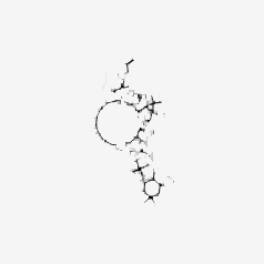 C=CCNC(=O)C(=O)[C@@H]1CCCCCCCO[C@@H](C)[C@H](NC(=O)N[C@H](CC2C(=O)CC(C)(C)CC2=O)C(C)(C)C)C(=O)N2C[C@H]3[C@@H](C2C(=O)N1)C3(C)C